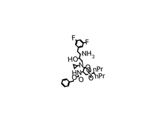 CCCC(CCC)S(=O)(=O)CC(NC(=O)OCc1ccccc1)C(=O)N(C[C@@H](O)[C@@H](N)Cc1cc(F)cc(F)c1)C1CC1